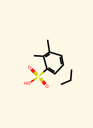 CCC.Cc1cccc(S(=O)(=O)O)c1C